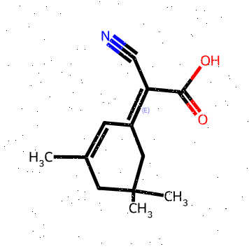 CC1=C/C(=C(\C#N)C(=O)O)CC(C)(C)C1